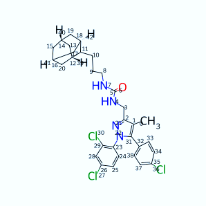 Cc1c(CNC(=O)NCCCC2[C@H]3C[C@@H]4C[C@@H](C[C@H]2C4)C3)nn(-c2ccc(Cl)cc2Cl)c1-c1ccc(Cl)cc1